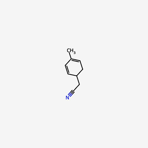 CC1=CCC(CC#N)C=C1